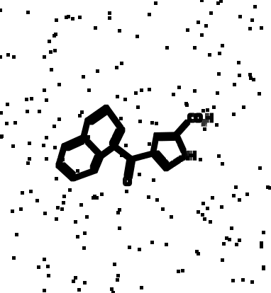 O=C(O)c1cc(C(=O)c2cccc3ccccc23)c[nH]1